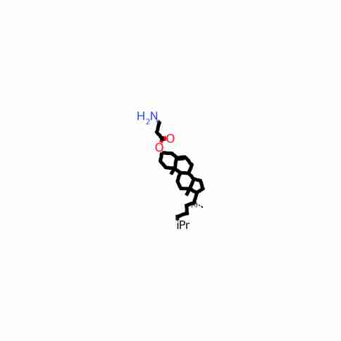 CC(C)CCC[C@@H](C)C1CCC2C3CC=C4CC(OC(=O)CCN)CCC4(C)C3CCC21C